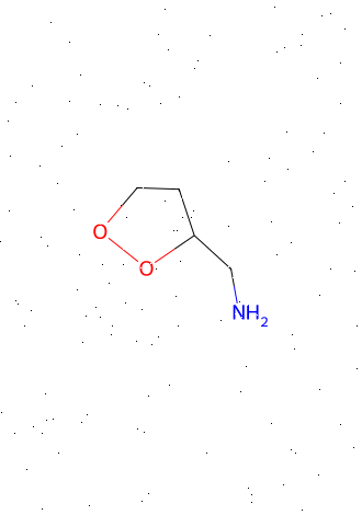 NCC1CCOO1